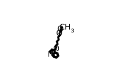 COCOCCCCCCOc1ccnc2ccccc12